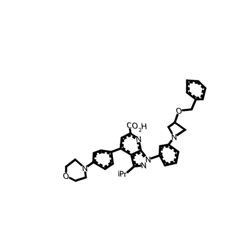 CC(C)c1nn(-c2cccc(N3CC(OCc4ccccc4)C3)c2)c2nc(C(=O)O)cc(-c3ccc(N4CCOCC4)cc3)c12